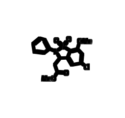 COC(=O)CC1c2cc(Cl)cc(OC)c2S(=O)(=O)N1c1ccccc1